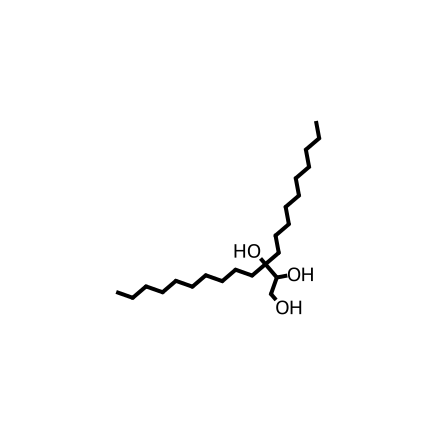 CCCCCCCCCCC(O)(CCCCCCCCCC)C(O)CO